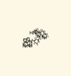 O=C(NCc1cccc(CN(Cc2ncc[nH]2)C2CCCc3cccnc32)c1)c1c(Cl)cncc1Cl